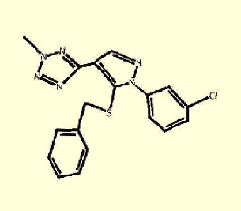 Cn1nnc(-c2cnn(-c3cccc(Cl)c3)c2SCc2ccccc2)n1